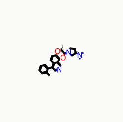 Cc1ccccc1-c1cncc2cc(O[C@H](C)C(=O)N3CC[C@@H](N(C)C)C3)ccc12